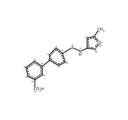 Cc1cc(NSc2ccc(-c3cccc(C(=O)O)c3)cc2)no1